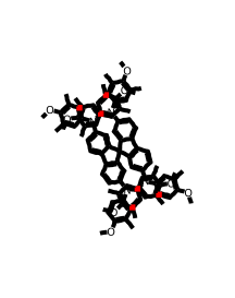 COc1ccc(N(c2cc(C)c(OC)c(C)c2)c2ccc3c(c2)C2(c4cc(N(c5ccc(OC)c(C)c5)c5cc(C)c(OC)c(C)c5)ccc4-c4ccc(N(c5cc(C)c(OC)c(C)c5)c5cc(C)c(OC)c(C)c5)cc42)c2cc(N(c4cc(C)c(OC)c(C)c4)c4cc(C)c(OC)c(C)c4)ccc2-3)cc1C